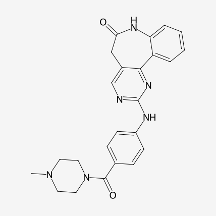 CN1CCN(C(=O)c2ccc(Nc3ncc4c(n3)-c3ccccc3NC(=O)C4)cc2)CC1